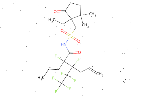 C=CCC(F)(C(F)(/C=C/C)C(=O)NS(=O)(=O)CC1(CC)C(=O)CCC1(C)C)C(F)(F)C(F)(F)F